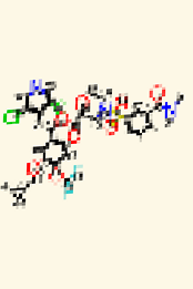 CN(C)C(=O)c1cccc(S(=O)(=O)N2CCO[C@@H](C(=O)O[C@@H](Cc3c(Cl)cncc3Cl)c3ccc(OC(F)F)c(OCC4CC4)c3)C2)c1